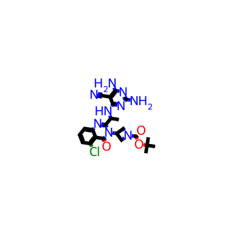 CC(Nc1nc(N)nc(N)c1C#N)c1nc2cccc(Cl)c2c(=O)n1C1CN(C(=O)OC(C)(C)C)C1